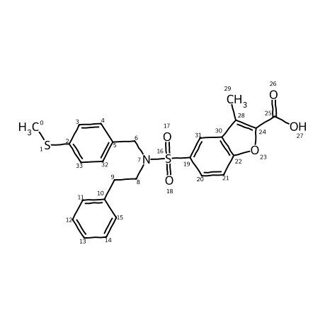 CSc1ccc(CN(CCc2ccccc2)S(=O)(=O)c2ccc3oc(C(=O)O)c(C)c3c2)cc1